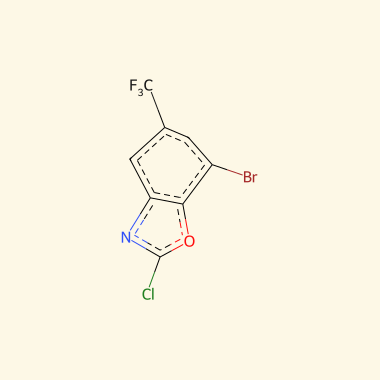 FC(F)(F)c1cc(Br)c2oc(Cl)nc2c1